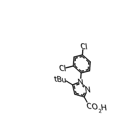 CC(C)(C)c1cc(C(=O)O)nn1-c1ccc(Cl)cc1Cl